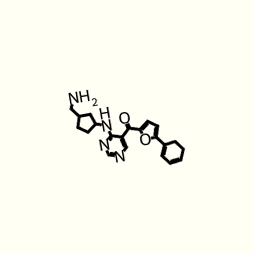 NCC1CCC(Nc2ncncc2C(=O)c2ccc(C3=CC=CCC3)o2)C1